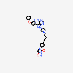 Nc1ncnc2c1c(-c1ccc(Oc3ccccc3)cc1)nn2C1CCN(CCCC#Cc2ccc(-n3ccc(=O)[nH]c3=O)cc2)CC1